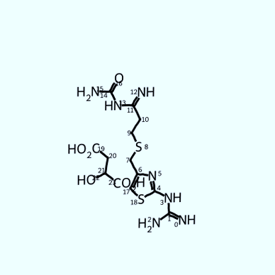 N=C(N)Nc1nc(CSCCC(=N)NC(N)=O)cs1.O=C(O)CC(O)C(=O)O